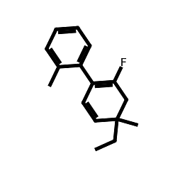 CCC1(C)C=CC(c2ccccc2C)=C(F)C1